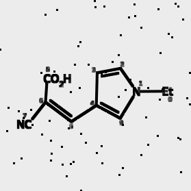 CCn1ccc(C=C(C#N)C(=O)O)c1